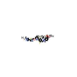 CO[C@H](C)Cn1c(Cc2cc(F)c(-c3cccc(OCc4ncc(-c5cnn(C)c5)s4)n3)cc2F)nc2ccc(C(=O)OC(C)(C)C)cc21